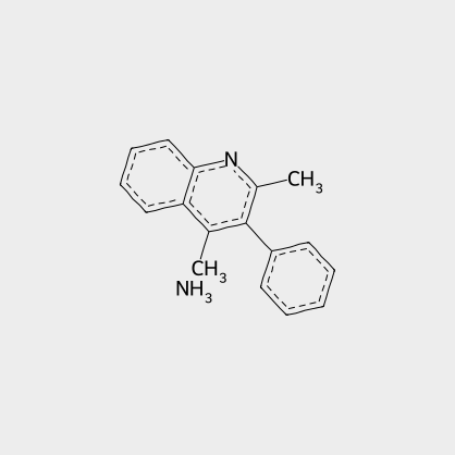 Cc1nc2ccccc2c(C)c1-c1ccccc1.N